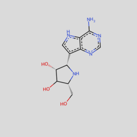 Nc1ncnc2c([C@@H]3N[C@H](CO)C(O)[C@@H]3O)c[nH]c12